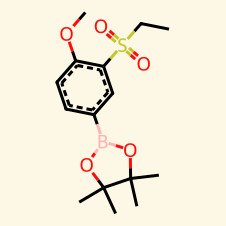 CCS(=O)(=O)c1cc(B2OC(C)(C)C(C)(C)O2)ccc1OC